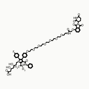 CC(C)c1c(C(=O)Nc2ccccc2)c(-c2ccc(OCCOCCOCCOCCOCCOCCOCCNC(=O)COc3cccc4c3C(=O)N(C3CCC(=O)NC3=O)C4=O)cc2)c(-c2ccc(F)cc2)n1CC[C@@H](O)C[C@@H](O)CC(=O)O